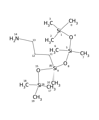 C[Si](C)(C)O[Si](C)(C)O[Si@](C)(CCCN)O[Si](C)(C)C